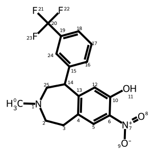 CN1CCc2cc([N+](=O)[O-])c(O)cc2C(c2cccc(C(F)(F)F)c2)C1